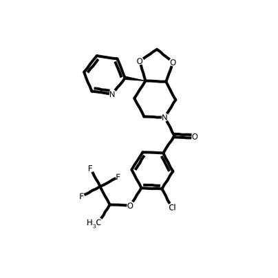 CC(Oc1ccc(C(=O)N2CC[C@]3(c4ccccn4)OCOC3C2)cc1Cl)C(F)(F)F